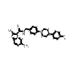 Cc1ccc2nc(C)c(C(=O)NCc3ccc(N4CCC(c5ccc(Cl)cc5)CC4)cc3)n2c1